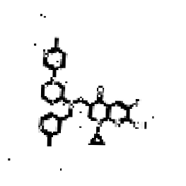 Cc1ccc(N2CCCC(N(Cc3ccnc(C)c3)Cc3cn(C4CC4)c4nc(O)c(F)cc4c3=O)C2)cn1